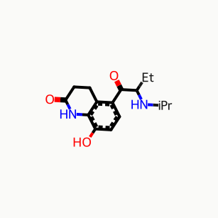 CCC(NC(C)C)C(=O)c1ccc(O)c2c1CCC(=O)N2